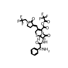 N[C@@H](C(=O)N[C@@H]1C(=O)N2C(C(=O)OC(=O)C(F)(F)F)=C(C=C3CCN(CC(F)(F)F)C3=O)CS[C@H]12)c1ccccc1